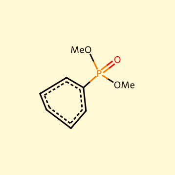 COP(=O)(OC)c1ccccc1